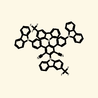 N#Cc1c(-c2ccc(-n3c4ccccc4c4ccccc43)cc2)c(-n2c3ccccc3c3cc(C(F)(F)F)ccc32)c(-c2ccc(-n3c4ccccc4c4ccccc43)cc2)c(C#N)c1-n1c2ccccc2c2cc(C(F)(F)F)ccc21